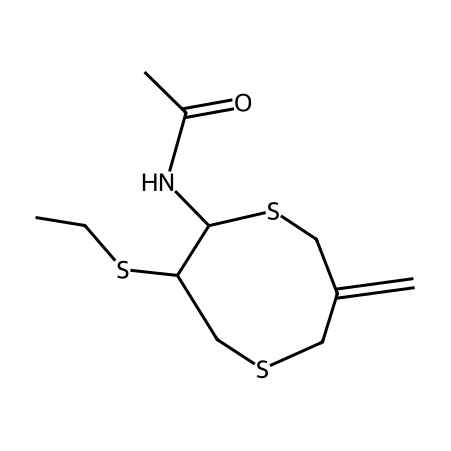 C=C1CSCC(SCC)C(NC(C)=O)SC1